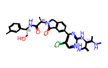 CN/C(C)=C(/Nc1ncc(Cl)c(-c2ccc3c(c2)C(=O)N([C@H](C)C(=O)N[C@H](CO)c2cccc(C)c2)C3)n1)C(C)=N